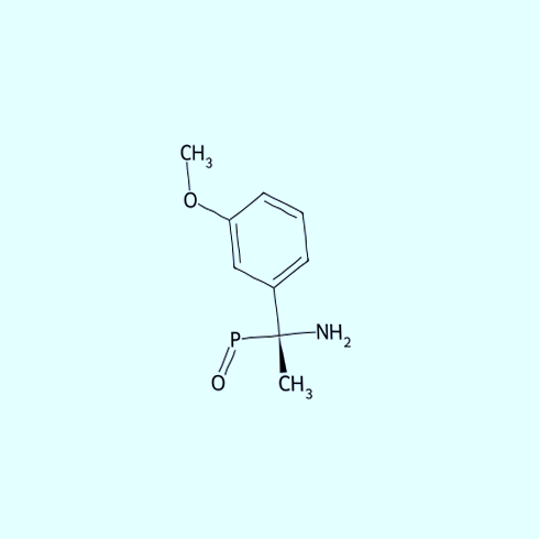 COc1cccc([C@](C)(N)P=O)c1